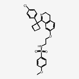 COc1ccc(S(=O)(=O)NCCOc2ccc3c(c2)C(C2(c4ccc(Cl)cc4)CCC2)=NCC3)cc1